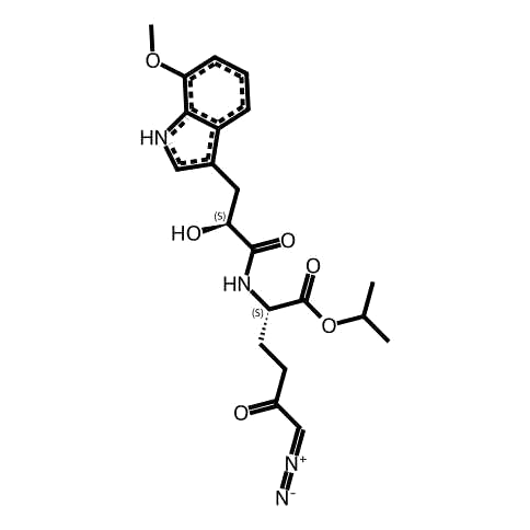 COc1cccc2c(C[C@H](O)C(=O)N[C@@H](CCC(=O)C=[N+]=[N-])C(=O)OC(C)C)c[nH]c12